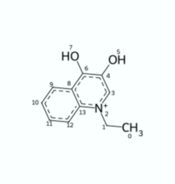 CC[n+]1cc(O)c(O)c2ccccc21